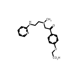 CN(CCNc1ccccn1)CC(=O)c1ccc(OCC(=O)O)cc1